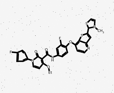 CCOc1ccn(-c2ccc(F)cc2)c(=O)c1C(=O)Nc1ccc(Oc2ccnc3cc(C4SC=CN4C)sc23)c(F)c1